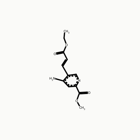 CCOC(=O)/C=C/c1cnc(C(=O)OC)cc1N